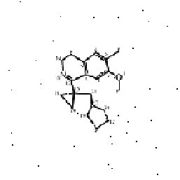 COc1cc2c(cc1C)CCN=C2C1(CC2CCCC2)CC1